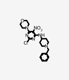 O=[N+]([O-])c1c(NC2CCN(Cc3ccccc3)CC2)nc(Cl)nc1N1CCOCC1